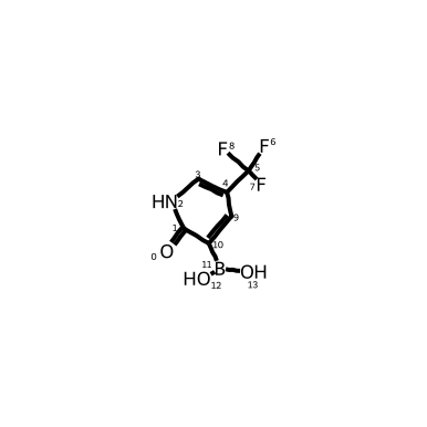 O=c1[nH]cc(C(F)(F)F)cc1B(O)O